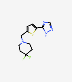 FC1(F)CCN(Cc2ccc(-c3ncn[nH]3)s2)CC1